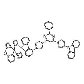 c1ccc(-c2nc(-c3ccc(-c4cccc5c4-c4ccccc4C54c5ccccc5C5(c6ccccc6Oc6ccccc65)c5ccccc54)cc3)cc(-c3ccc(-n4c5ccccc5c5ccccc54)cc3)n2)cc1